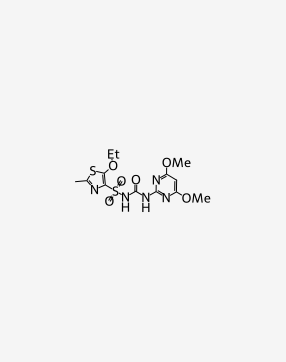 CCOc1sc(C)nc1S(=O)(=O)NC(=O)Nc1nc(OC)cc(OC)n1